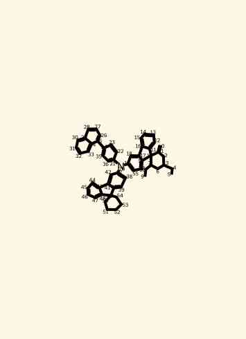 C=C1CC(CC)CC(CC)C12c1ccccc1-c1cc(N(c3ccc(-c4cccc5ccccc45)cc3)c3ccc4c(c3)-c3ccccc3C43CCCCC3)ccc12